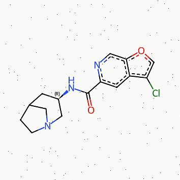 O=C(N[C@@H]1CC2CCN(C2)C1)c1cc2c(Cl)coc2cn1